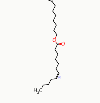 CCCC/C=C\CCCCCC(=O)OCCCCCCCC1CC1